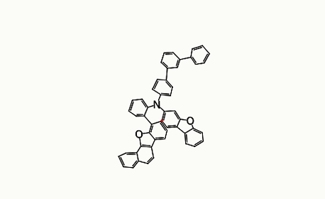 c1ccc(-c2cccc(-c3ccc(N(c4ccc5c(c4)oc4ccccc45)c4ccccc4-c4cccc5c4oc4c6ccccc6ccc54)cc3)c2)cc1